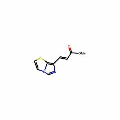 COC(=O)/C=C/c1ncn2ccsc12